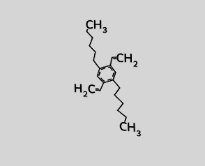 C=Cc1cc(CCCCCC)c(C=C)cc1CCCCCC